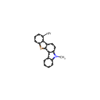 CCCc1cccc2sc3c(ccc4c3c3ccccc3n4C)c12